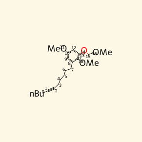 CCCCC#CCCCCCc1cc(OC)cc(OCOC)c1OC